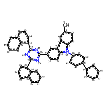 N#Cc1ccc2c(c1)c1cc(-c3nc(-c4cccc5ccccc45)nc(-c4cccc5ccccc45)n3)ccc1n2-c1ccc(-c2ccccc2)cc1